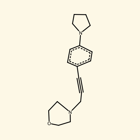 C(#Cc1ccc(N2CCCC2)cc1)CN1CCOCC1